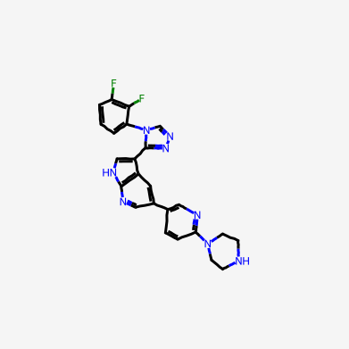 Fc1cccc(-n2cnnc2-c2c[nH]c3ncc(-c4ccc(N5CCNCC5)nc4)cc23)c1F